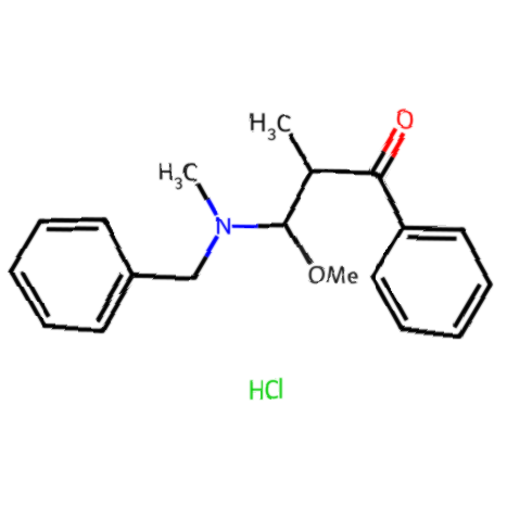 COC(C(C)C(=O)c1ccccc1)N(C)Cc1ccccc1.Cl